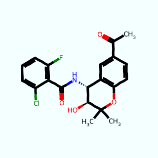 CC(=O)c1ccc2c(c1)[C@@H](NC(=O)c1c(F)cccc1Cl)[C@H](O)C(C)(C)O2